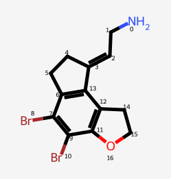 NCC=C1CCc2c(Br)c(Br)c3c(c21)CCO3